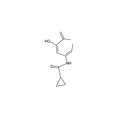 C=C(C)/C(O)=C\C(=C/C)NC(=O)C1CC1